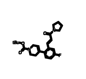 CC(C)(C)OC(=O)N1CC=C(c2ccc(F)cc2/C=C/C(=O)N2CCCC2)CC1